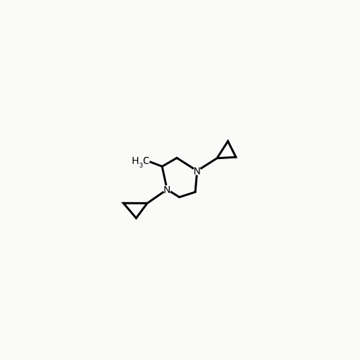 CC1CN(C2CC2)CCN1C1CC1